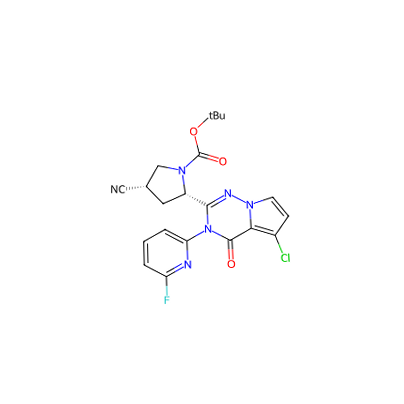 CC(C)(C)OC(=O)N1C[C@@H](C#N)C[C@H]1c1nn2ccc(Cl)c2c(=O)n1-c1cccc(F)n1